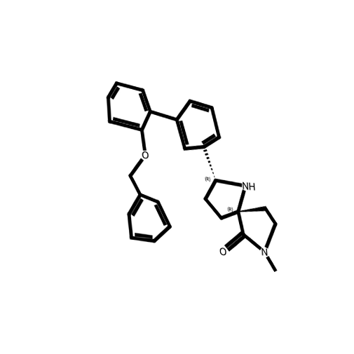 CN1CC[C@]2(CC[C@H](c3cccc(-c4ccccc4OCc4ccccc4)c3)N2)C1=O